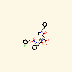 CCN(CCc1ccccc1)C(=O)CC[Si@H](NC(=O)[C@@H](CNC(=O)OCc1cccc(Cl)c1)CC1CCCCC1)C(=O)OC